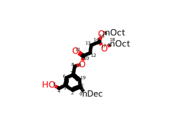 CC[CH]CCCCCCCc1cc(CO)cc(COC(=O)CCC(OCCCCCCCC)OCCCCCCCC)c1